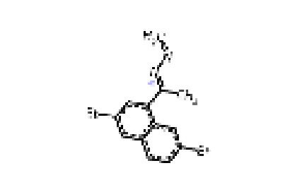 C=N/N=C(\C)c1cc(CC)cc2ccc(CC)cc12